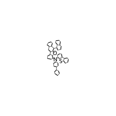 c1ccc(-c2ccc(N(c3cccc4c3oc3c(-c5cccc6ccccc56)c5ccccc5cc34)c3cccc4c3sc3ccccc34)cc2)cc1